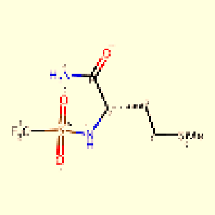 CSCC[C@H](NS(=O)(=O)C(F)(F)F)C(N)=O